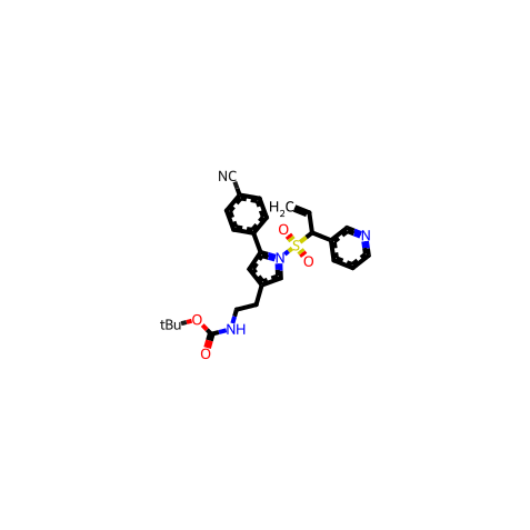 C=CC(c1cccnc1)S(=O)(=O)n1cc(CCNC(=O)OC(C)(C)C)cc1-c1ccc(C#N)cc1